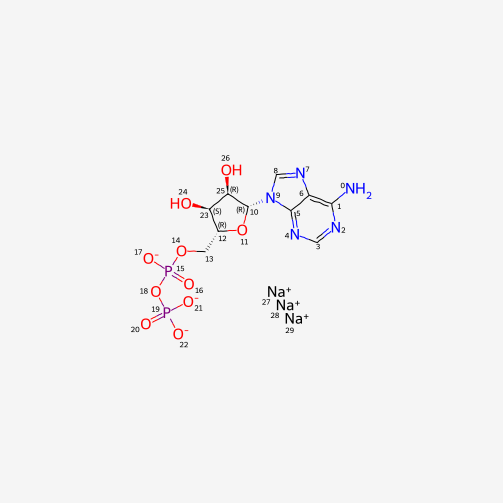 Nc1ncnc2c1ncn2[C@@H]1O[C@H](COP(=O)([O-])OP(=O)([O-])[O-])[C@@H](O)[C@H]1O.[Na+].[Na+].[Na+]